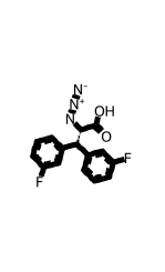 [N-]=[N+]=N[C@H](C(=O)O)C(c1cccc(F)c1)c1cccc(F)c1